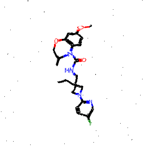 CCC1(CNC(=O)N2c3ccc(OC)cc3OCC2C)CN(c2ccc(F)cn2)C1